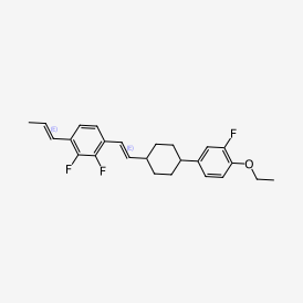 C/C=C/c1ccc(/C=C/C2CCC(c3ccc(OCC)c(F)c3)CC2)c(F)c1F